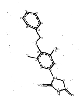 CCCCc1cc(N2CC(=O)NC2=S)cc(C)c1OCc1ccccc1